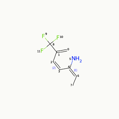 C=C(/C=C\C(N)=C/C)C(F)(F)F